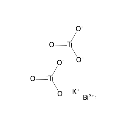 [Bi+3].[K+].[O]=[Ti]([O-])[O-].[O]=[Ti]([O-])[O-]